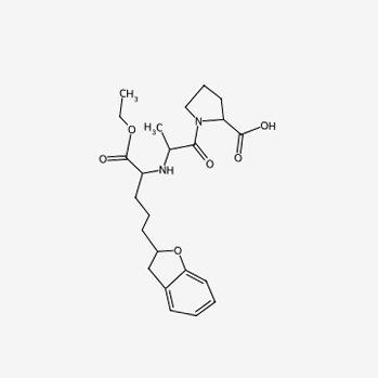 CCOC(=O)C(CCCC1Cc2ccccc2O1)NC(C)C(=O)N1CCCC1C(=O)O